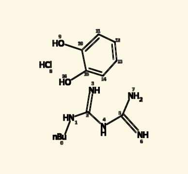 CCCCNC(=N)NC(=N)N.Cl.Oc1ccccc1O